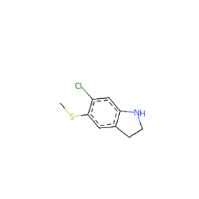 CSc1cc2c(cc1Cl)NCC2